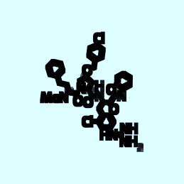 CN[C@H](CCc1ccccc1)C(=O)N1C[C@H](OCc2ccc(Cl)cc2)C[C@H]1C(=O)NC(Cc1ccc(NC(=N)N)cc1Cl)C(=O)c1nc2ccccc2o1